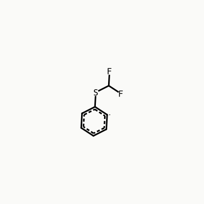 FC(F)Sc1[c]cccc1